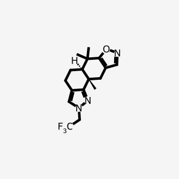 CC1(C)c2oncc2C[C@]2(C)c3nn(CC(F)(F)F)cc3CC[C@@H]12